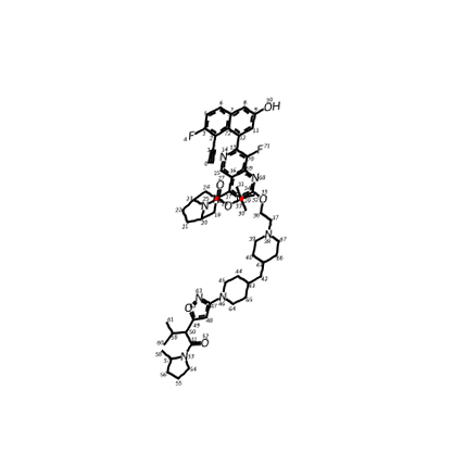 C#Cc1c(F)ccc2cc(O)cc(-c3ncc4c(N5CC6CCC(C5)N6C(=O)OC(C)(C)C)nc(OCCN5CCC(CC6CCN(c7cc(C(C(=O)N8CCCC8C)C(C)C)on7)CC6)CC5)nc4c3F)c12